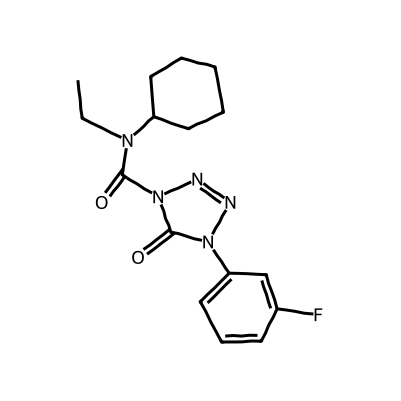 CCN(C(=O)n1nnn(-c2cccc(F)c2)c1=O)C1CCCCC1